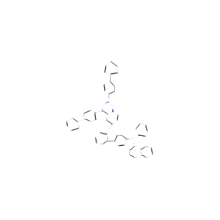 c1ccc(-c2ccc(-c3nc(-c4ccc(-c5ccccc5)cc4)c4cc(-n5c6ccccc6c6cc7c8ccc9ccccc9c8n(-c8ccccc8)c7cc65)ccc4n3)cc2)cc1